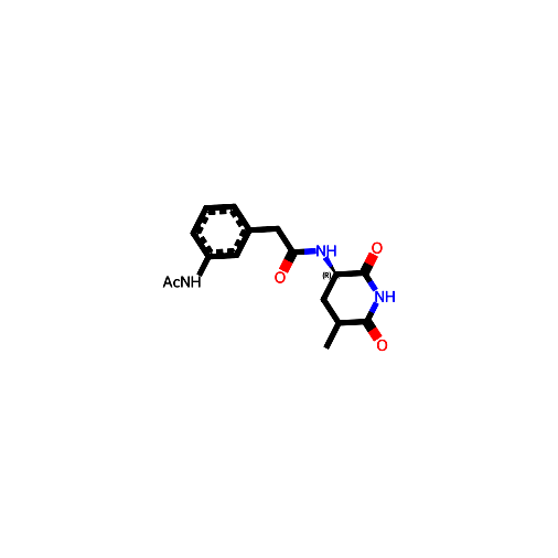 CC(=O)Nc1cccc(CC(=O)N[C@@H]2CC(C)C(=O)NC2=O)c1